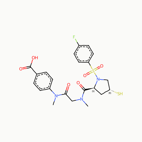 CN(CC(=O)N(C)c1ccc(C(=O)O)cc1)C(=O)[C@@H]1C[C@@H](S)CN1S(=O)(=O)c1ccc(F)cc1